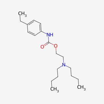 CCCCN(CCCC)CCOC(=O)Nc1ccc(CC)cc1